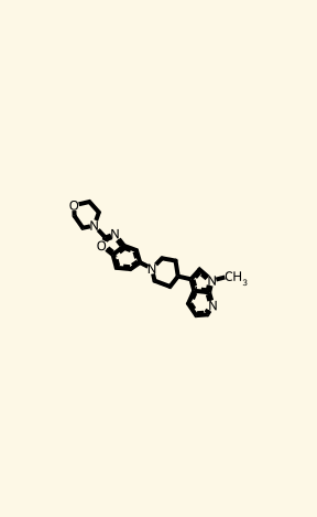 Cn1cc(C2CCN(c3ccc4oc(N5CCOCC5)nc4c3)CC2)c2cccnc21